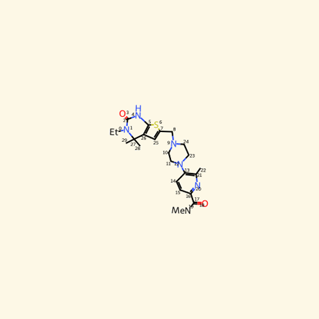 CCN1C(=O)Nc2sc(CN3CCN(c4ccc(C(=O)NC)nc4C)CC3)cc2C1(C)C